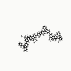 CC1(C)c2ccc(-c3ccc4c5ccccc5n(-c5ccc6c(c5)sc5cc(-c7ccc8c(c7)C7(CCCCC7)c7cc9c(cc7-8)C(C)(C)c7ccc(-c8ccc%10c%11ccccc%11n(-c%11ccccc%11)c%10c8)cc7-9)ccc56)c4c3)cc2-c2cc3c(cc21)-c1ccccc1C31CCCCC1